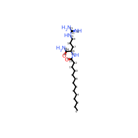 CCCCCCCCCCCCCC(=O)NC(CCCNC(=N)N)C(N)=O